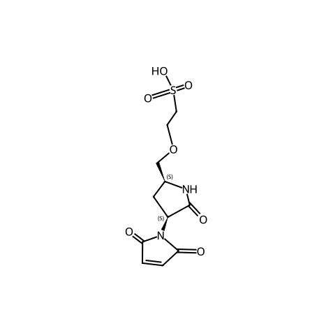 O=C1N[C@H](COCCS(=O)(=O)O)C[C@@H]1N1C(=O)C=CC1=O